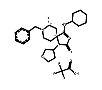 C[C@@H]1C[C@@]2(CCN1Cc1ccccc1)C(NC1CCCCC1)=NC(=O)N2C1CCOC1.O=C(O)C(F)(F)F